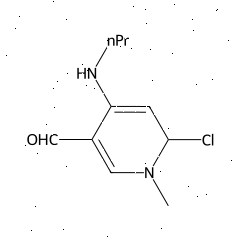 CCCNC1=CC(Cl)N(C)C=C1C=O